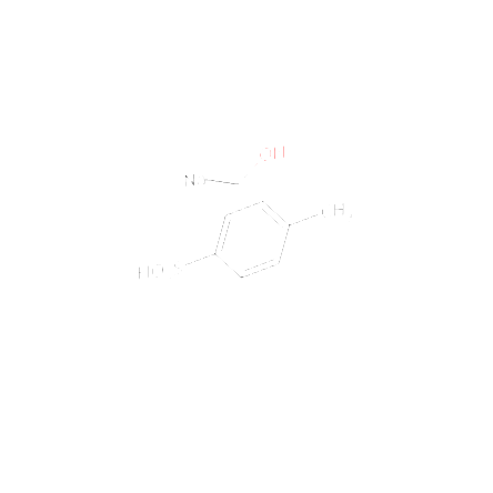 Cc1ccc(S(=O)(=O)O)cc1.O[CH2][Na]